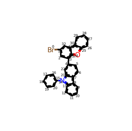 Brc1cc(-c2ccc3c4ccccc4n(-c4ccccc4)c3c2)c2oc3ccccc3c2c1